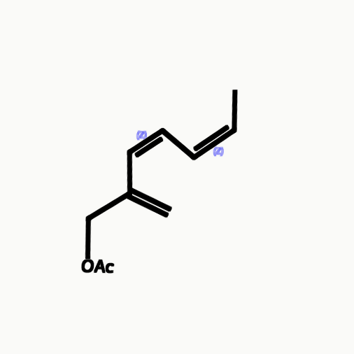 C=C(/C=C\C=C/C)COC(C)=O